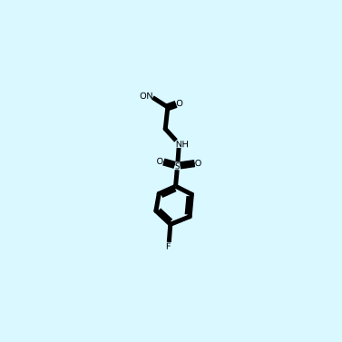 O=NC(=O)CNS(=O)(=O)c1ccc(F)cc1